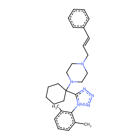 Cc1cccc(C)c1-n1nnnc1C1(N2CCN(CC=Cc3ccccc3)CC2)CCCCC1